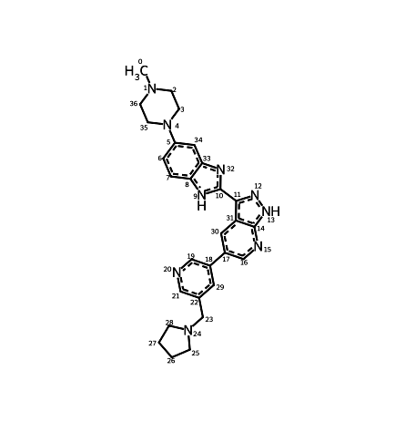 CN1CCN(c2ccc3[nH]c(-c4n[nH]c5ncc(-c6cncc(CN7CCCC7)c6)cc45)nc3c2)CC1